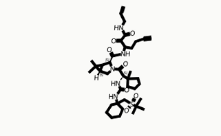 C#CCCC(NC(=O)[C@@H]1C2[C@H](CN1C(=O)[C@@H](NC(=O)NC1(CS(=O)(=O)C(C)(C)C)CCCCC1)C1(C)CCCC1)C2(C)C)C(=O)C(=O)NCC=C